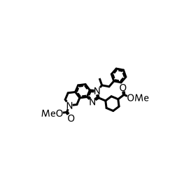 COC(=O)C1CCCC(c2nc3c4c(ccc3n2C(C)Cc2ccccc2)CCN(C(=O)OC)C4)C1